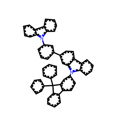 c1ccc(C2(c3ccccc3)c3ccccc3-c3ccc(-n4c5ccccc5c5ccc(-c6cccc(-n7c8ccccc8c8ccccc87)c6)cc54)cc32)cc1